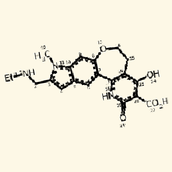 CCNCc1cc2cc3c(cc2n1C)OCCc1c-3[nH]c(=O)c(C(=O)O)c1O